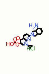 Cl.NC1C=CCC2CN(c3ccc4c(=O)c(OC(=O)O)cn(C5CC5)c4n3)CC12